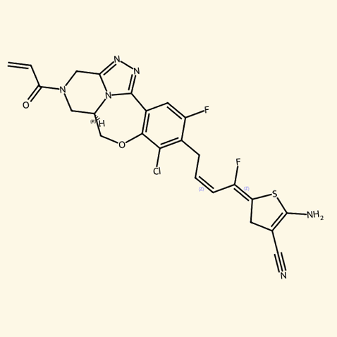 C=CC(=O)N1Cc2nnc3n2[C@@H](COc2c-3cc(F)c(C/C=C\C(F)=C3/CC(C#N)=C(N)S3)c2Cl)C1